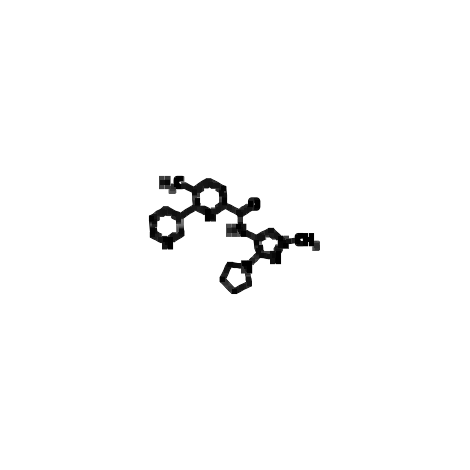 Cc1ccc(C(=O)Nc2cn(C)nc2N2CCCC2)nc1-c1cccnc1